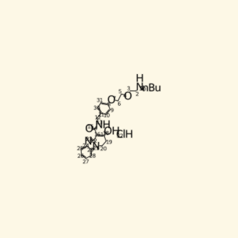 CCCCNCCOCCOc1ccc(CNC(=O)C2=C(O)CCn3c2nc2ccccc23)cc1.Cl